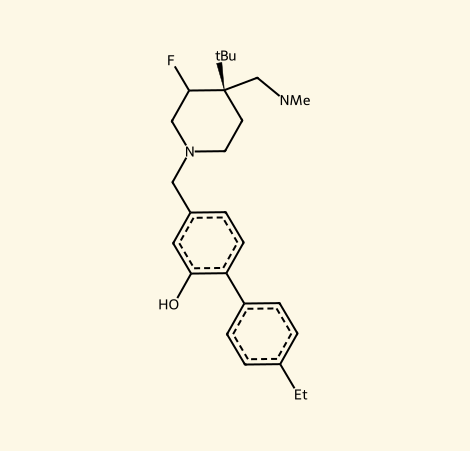 CCc1ccc(-c2ccc(CN3CC[C@](CNC)(C(C)(C)C)C(F)C3)cc2O)cc1